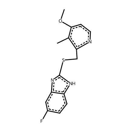 COc1ccnc(CSc2nc3cc(F)ccc3[nH]2)c1C